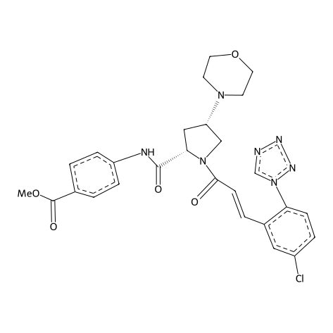 COC(=O)c1ccc(NC(=O)[C@@H]2C[C@H](N3CCOCC3)CN2C(=O)/C=C/c2cc(Cl)ccc2-n2cnnn2)cc1